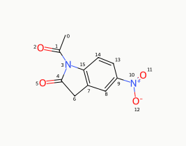 CC(=O)N1C(=O)Cc2cc([N+](=O)[O-])ccc21